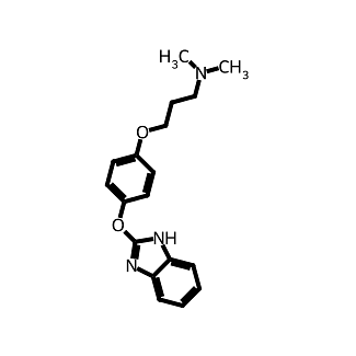 CN(C)CCCOc1ccc(Oc2nc3ccccc3[nH]2)cc1